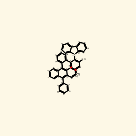 N#Cc1cc(C#N)c(-n2c3ccccc3c3ccccc32)c(-c2ccccc2-c2c3ccccc3c(-c3ccccc3)c3ccccc23)c1